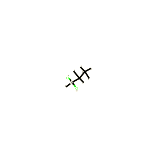 CC(C)(C)C(C)(C)[Si](C)(Cl)Cl